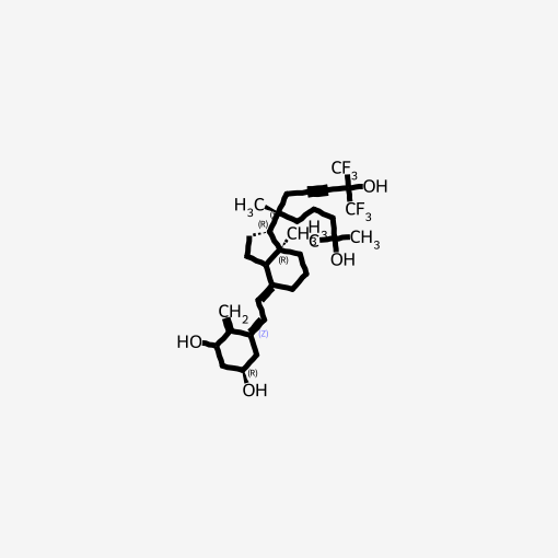 C=C1/C(=C\C=C2CCC[C@@]3(C)C2CC[C@@H]3[C@](C)(CC#CC(O)(C(F)(F)F)C(F)(F)F)CCCC(C)(C)O)C[C@@H](O)CC1O